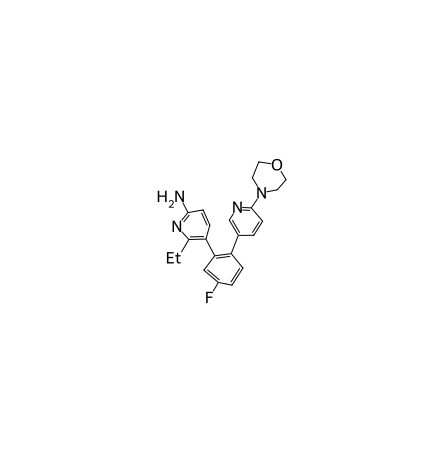 CCc1nc(N)ccc1-c1cc(F)ccc1-c1ccc(N2CCOCC2)nc1